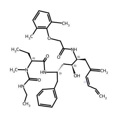 C=C/C=C\C(=C)C[C@H](NC(=O)COc1c(C)cccc1C)[C@@H](O)C[C@H](Cc1ccccc1)NC(=O)[C@H](CC)N(C)C(=O)NCC